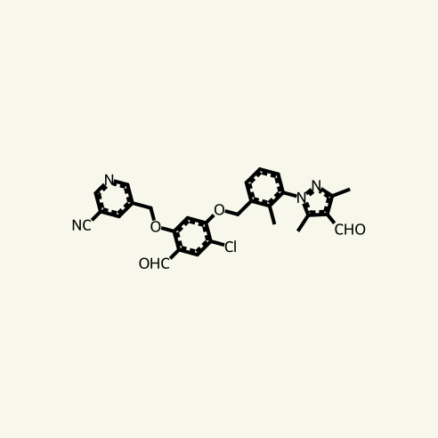 Cc1nn(-c2cccc(COc3cc(OCc4cncc(C#N)c4)c(C=O)cc3Cl)c2C)c(C)c1C=O